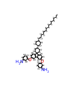 CCCCCCCCCCCCCCC[C@H]1CC[C@H](C2CCC(c3ccc(Oc4cccc(N)c4)cc3)(c3ccc(Oc4cccc(N)c4)cc3)CC2)CC1